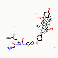 CC(C)COC(=O)CC[C@H](NC(=O)CN)C(=O)NC1CC2(C1)CC(Oc1ccc([C@@H]3O[C@@H]4C[C@H]5[C@@H]6CCC7=CC(=O)C=C[C@]7(C)[C@H]6[C@@H](O)C[C@]5(C)[C@]4(C(=O)CO)O3)cc1)C2